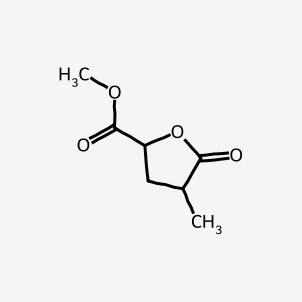 COC(=O)C1CC(C)C(=O)O1